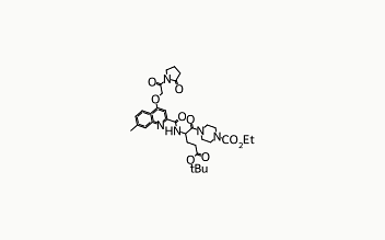 CCOC(=O)N1CCN(C(=O)C(CCC(=O)OC(C)(C)C)NC(=O)c2cc(OCC(=O)N3CCCC3=O)c3ccc(C)cc3n2)CC1